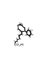 O=C(O)CCCCCCC1CCCCC1c1ccccc1